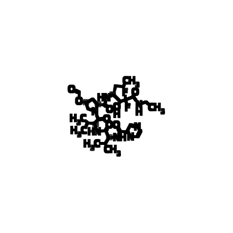 CCC[C@H](NC(=O)[C@@H]1C[C@@H](OC=O)CN1C(=O)[C@@H](NC(=O)[C@@H](NC(=O)c1cnccn1)C(C)C)C(C)C)C(O)C(F)(F)C(=O)NCC